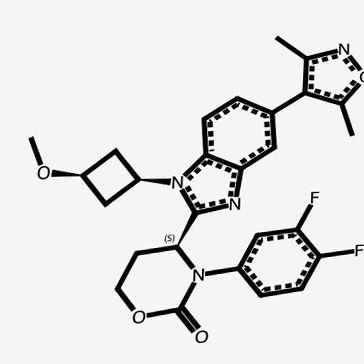 CO[C@H]1C[C@@H](n2c([C@@H]3CCOC(=O)N3c3ccc(F)c(F)c3)nc3cc(-c4c(C)noc4C)ccc32)C1